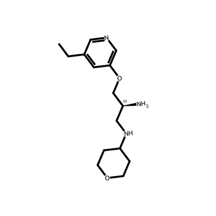 CCc1cncc(OC[C@@H](N)CNC2CCOCC2)c1